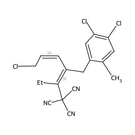 CC/C(=C(\C=C/CCl)Cc1cc(Cl)c(Cl)cc1C)C(C#N)(C#N)C#N